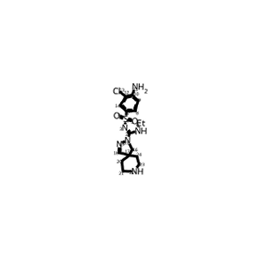 CCN/C(=N\S(=O)(=O)c1ccc(N)c(Cl)c1)N1CC2(C=N1)CCNCC2